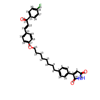 O=C1C=C(c2ccc(CCCCCCCCOc3ccc(C=CC(=O)c4ccc(F)cc4)cc3)cc2)C(=O)N1